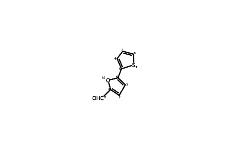 O=Cc1ccc(-c2cccs2)o1